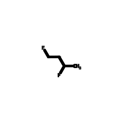 CC(F)[CH]CF